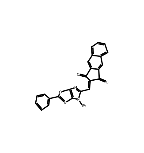 CC(C)n1c(C=C2C(=O)c3cc4ccccc4cc3C2=O)nc2oc(-c3ccccc3)nc21